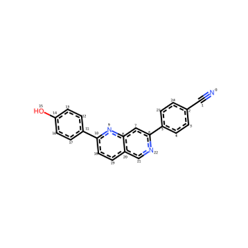 N#Cc1ccc(-c2cc3nc(-c4ccc(O)cc4)ccc3cn2)cc1